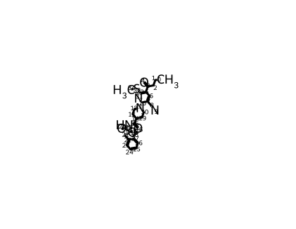 CCCC(=O)c1cc(C#N)c(N2CCC(C(=O)NS(=O)(=O)Cc3ccccc3F)CC2)nc1SC